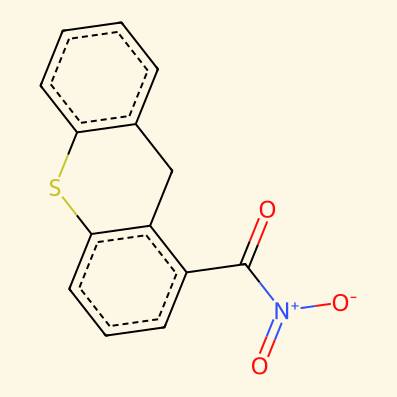 O=C(c1cccc2c1Cc1ccccc1S2)[N+](=O)[O-]